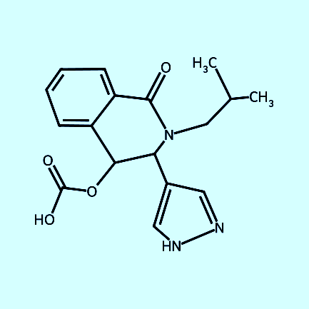 CC(C)CN1C(=O)c2ccccc2C(OC(=O)O)C1c1cn[nH]c1